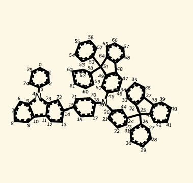 c1ccc(-n2c3ccccc3c3ccc(-c4ccc(N(c5cccc(C6(c7ccccc7)c7ccccc7-c7ccccc76)c5)c5ccc6c(c5)C(c5ccccc5)(c5ccccc5)c5ccccc5-6)cc4)cc32)cc1